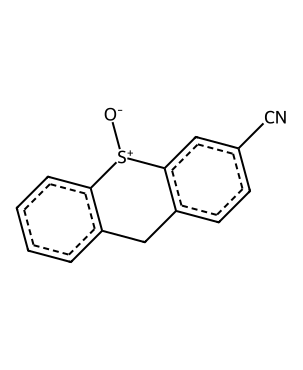 N#Cc1ccc2c(c1)[S+]([O-])c1ccccc1C2